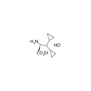 CCOC(=O)[C@@H](N)C(C1CC1)C1CC1.Cl